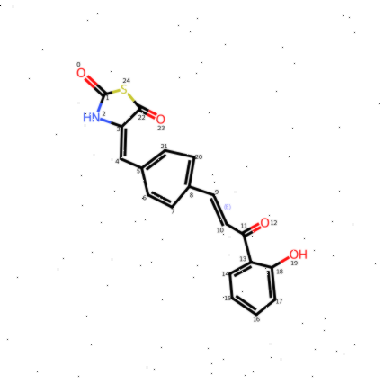 O=C1NC(=Cc2ccc(/C=C/C(=O)c3ccccc3O)cc2)C(=O)S1